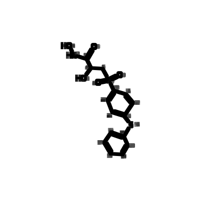 O=C(NO)C(O)CS(=O)(=O)c1ccc(Sc2ccccc2)cc1